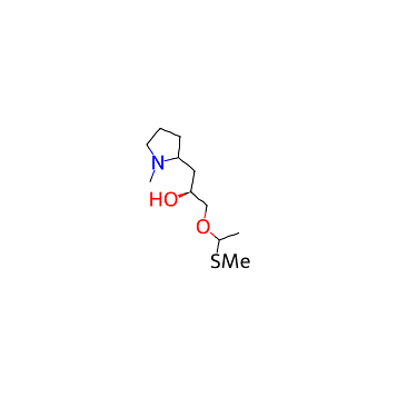 CSC(C)OC[C@@H](O)CC1CCCN1C